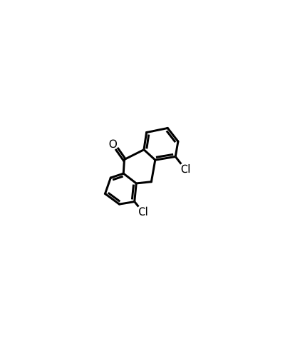 O=C1c2cccc(Cl)c2Cc2c(Cl)cccc21